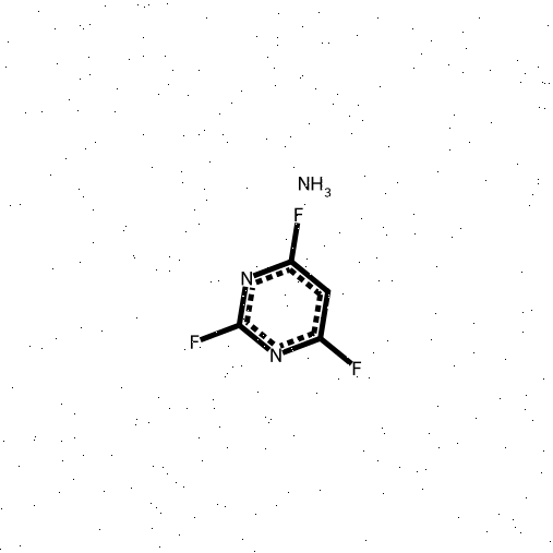 Fc1cc(F)nc(F)n1.N